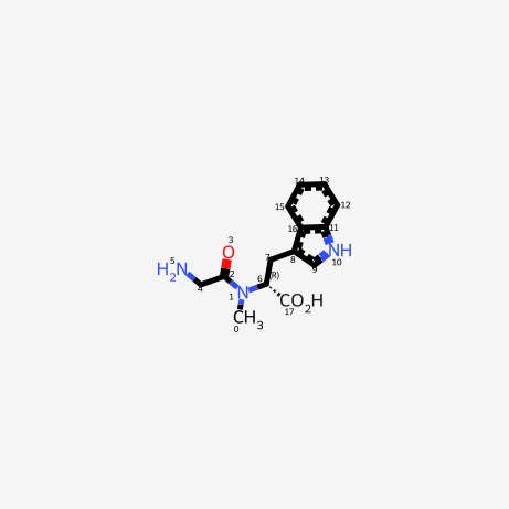 CN(C(=O)CN)[C@H](Cc1c[nH]c2ccccc12)C(=O)O